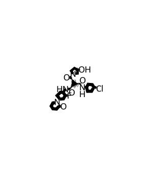 O=C(Nc1ccc(-n2ccccc2=O)cc1F)[C@@H]1[C@H](C(=O)Nc2ccc(Cl)cc2)[C@@H]1C(=O)N1CC[C@@H](O)C1